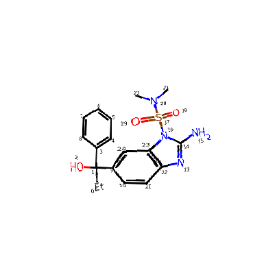 CCC(O)(c1ccccc1)c1ccc2nc(N)n(S(=O)(=O)N(C)C)c2c1